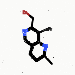 CCCc1c(CBr)ncc2ccc(C)nc12